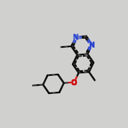 Cc1cc2ncnc(C)c2cc1OC1CCC(C)CC1